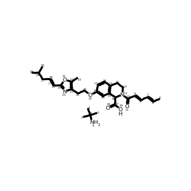 CC(C)(C)N.CC=CC=CC(=O)N1CCc2ccc(OCCc3nc(/C=C/CC(C)C)oc3C)cc2C1C(=O)O